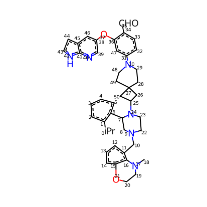 CC(C)c1ccccc1C1CN(Cc2cccc3c2N(C)CCO3)CCN1C1CC2(CCN(c3ccc(C=O)c(Oc4cnc5[nH]ccc5c4)c3)CC2)C1